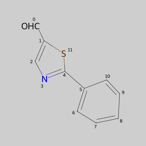 O=Cc1cnc(-c2ccccc2)s1